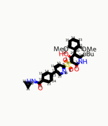 CCCCc1[nH]c(=O)c(S(=O)(=O)c2ccc(-c3ccc(C(=O)NC4CC4)cc3)cn2)c(O)c1-c1c(OC)cccc1OC